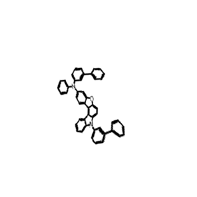 c1ccc(-c2cccc(N(c3ccccc3)c3ccc4c(c3)oc3ccc5c(c6ccccc6n5-c5cccc(-c6ccccc6)c5)c34)c2)cc1